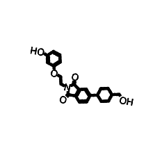 O=C1c2ccc(C3CCC(CO)CC3)cc2C(=O)N1CCOc1cccc(O)c1